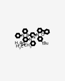 CC(C)(C)c1ccc(N(c2ccc3c(n2)N(c2ccccc2)c2cc([Si](C)(C)C)cc4c2B3c2ccccc2N4c2ccccc2)c2cccc3c2oc2ccccc23)cc1